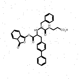 O=C(O)CCNC(=O)[C@H](Cc1ccccc1)NC(Cc1ccc(-c2ccccc2)cc1)C(=O)OC1=C2C=CC=CC2C(=O)O1